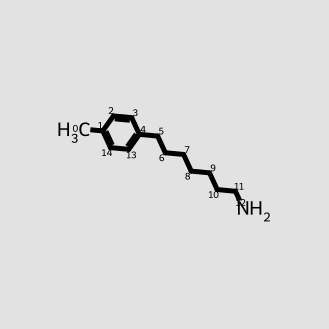 Cc1ccc(CCCCCCCN)cc1